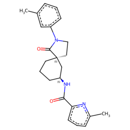 Cc1cccc(N2CC[C@]3(CCC[C@H](NC(=O)c4cccc(C)n4)C3)C2=O)c1